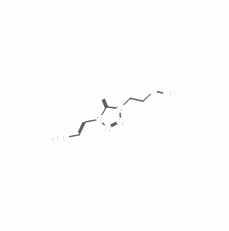 C/C=C/n1nnn(CCSC)c1=O